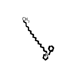 CCCCCCCCCCCCCCCCCCC[N+]1(Cc2ccccc2)CCCC1